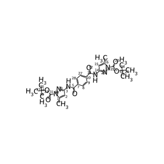 Cc1cc(NC(=O)c2ccc(C(=O)Nc3cc(C)n(C(=O)OC(C)(C)C)n3)cc2)nn1C(=O)OC(C)(C)C